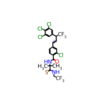 CC(C)(NC(=O)c1ccc(/C=C/C(c2cc(Cl)c(Cl)c(Cl)c2)C(F)(F)F)cc1Cl)C(=S)NCC(F)(F)F